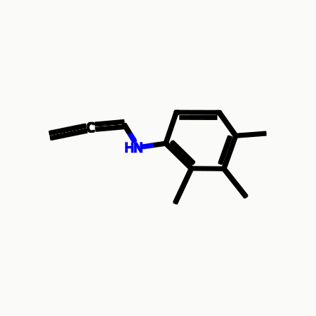 C=C=CNc1ccc(C)c(C)c1C